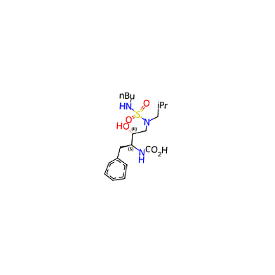 CCCCNS(=O)(=O)N(CC(C)C)C[C@@H](O)[C@H](Cc1ccccc1)NC(=O)O